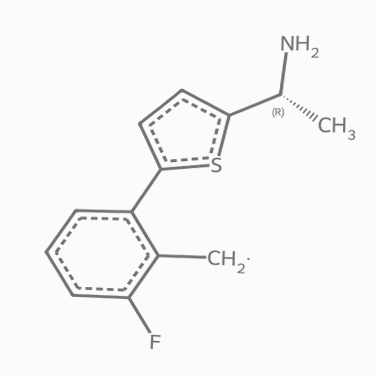 [CH2]c1c(F)cccc1-c1ccc([C@@H](C)N)s1